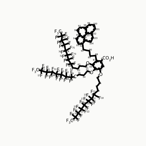 O=C(O)c1cc(OCCCCC(F)(F)C(F)(F)C(F)(F)C(F)(F)C(F)(F)C(F)(F)C(F)(F)C(F)(F)F)c(OCCCCC(F)(F)C(F)(F)C(F)(F)C(F)(F)C(F)(F)C(F)(F)C(F)(F)C(F)(F)F)c(OCCCCC(F)(F)C(F)(F)C(F)(F)C(F)(F)C(F)(F)C(F)(F)C(F)(F)C(F)(F)F)c1CCCCc1ccc2ccc3cccc4ccc1c2c34